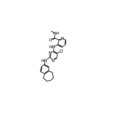 CNC(=O)c1ncccc1Nc1nc(Nc2ccc3c(c2)CCCCC3)ncc1Cl